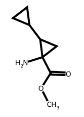 COC(=O)C1(N)CC1C1CC1